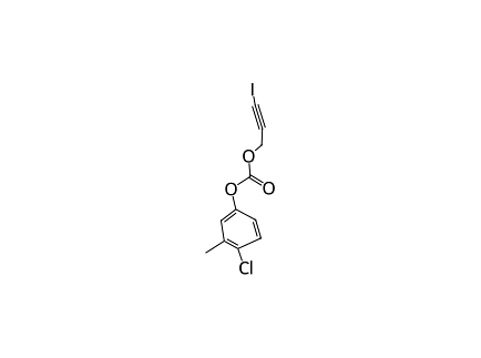 Cc1cc(OC(=O)OCC#CI)ccc1Cl